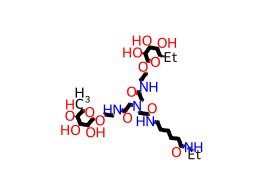 CCNC(=O)CCCCCNC(=O)CN(CC(=O)NCCO[C@@H]1O[C@H](CC)[C@@H](O)[C@H](O)[C@@H]1O)CC(=O)NCCO[C@@H]1O[C@@H](C)[C@@H](O)[C@@H](O)[C@@H]1O